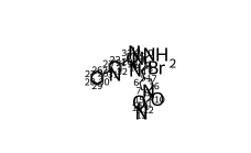 Nc1c(Br)c(C2CCN(C(=O)c3cnco3)CC2)nc2c(-c3ccc(-c4ccccc4)nc3)cnn12